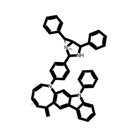 C=C1/C=C\C=C/N(c2ccc(C3NC(c4ccccc4)C4C(c5ccccc5)[N@@]34)cc2)c2cc3c(cc21)c1ccccc1n3-c1ccccc1